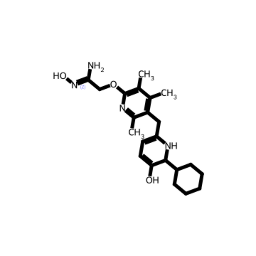 Cc1nc(OC/C(N)=N/O)c(C)c(C)c1CC1=CC=C(O)C(C2CCCCC2)N1